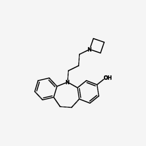 Oc1ccc2c(c1)N(CCCN1CCC1)c1ccccc1CC2